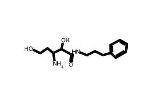 NC(CCO)C(O)C(=O)NCCCc1ccccc1